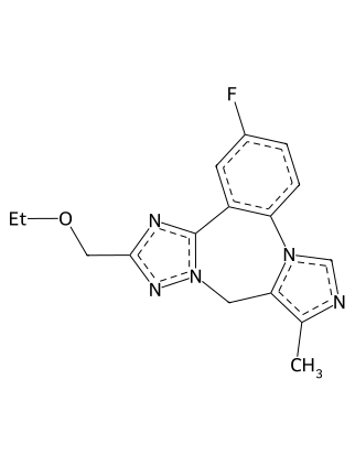 CCOCc1nc2n(n1)Cc1c(C)ncn1-c1ccc(F)cc1-2